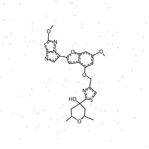 COc1cc(OCc2csc(C3(O)CC(C)OC(C)C3)n2)c2cc(-c3cnc4sc(OC)nn34)oc2c1